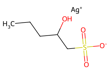 CCCC(O)CS(=O)(=O)[O-].[Ag+]